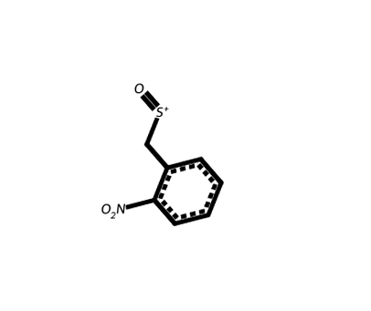 O=[S+]Cc1ccccc1[N+](=O)[O-]